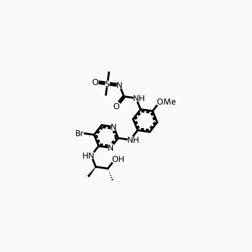 COc1ccc(Nc2ncc(Br)c(N[C@H](C)[C@@H](C)O)n2)cc1NC(=O)N=S(C)(C)=O